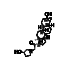 C[C@]12CC[C@@H]3[C@H]4CC[C@]5(O)CC5[C@@H]4CC[C@H]3[C@@H]1CC[C@@H]2C(=O)CN1CCC(O)C1